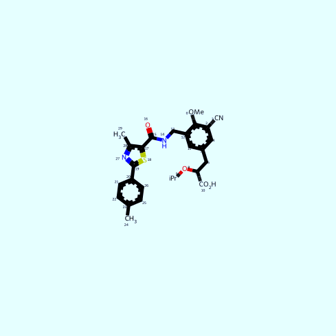 COc1c(C#N)cc(CC(OC(C)C)C(=O)O)cc1CNC(=O)c1sc(-c2ccc(C)cc2)nc1C